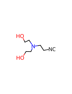 [C-]#[N+]CCN(CCO)CCO